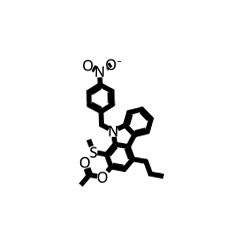 CCCc1cc(OC(C)=O)c(SC)c2c1c1ccccc1n2Cc1ccc([N+](=O)[O-])cc1